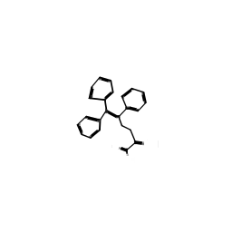 C=C(CCC(=C(c1ccccc1)c1ccccc1)c1ccccc1)C(=O)O